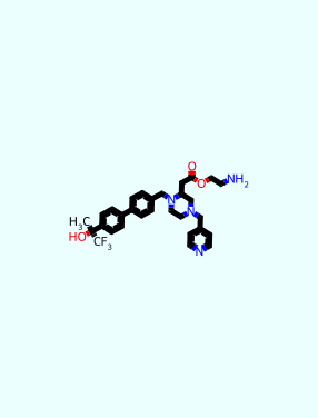 CC(O)(c1ccc(-c2ccc(CN3CCN(Cc4ccncc4)CC3CC(=O)OCCN)cc2)cc1)C(F)(F)F